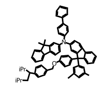 Cc1cc(C)cc(C2(c3ccc(OCc4ccc(C(CC(C)C)C(C)C)cc4)cc3)c3ccccc3-c3ccc(N(c4ccc(-c5ccccc5)cc4)c4ccc5c(c4)C(C)(C)c4ccccc4-5)cc32)c1